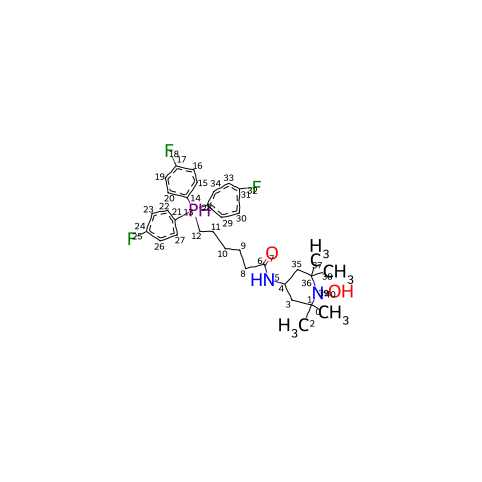 CC1(C)CC(NC(=O)CCCCC[PH](c2ccc(F)cc2)(c2ccc(F)cc2)c2ccc(F)cc2)CC(C)(C)N1O